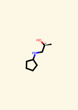 C[C@H](O)CNC1CCCC1